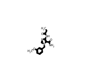 CCC(=O)Nc1ncn(Cc2cccc(OC)c2)c1C(N)=O